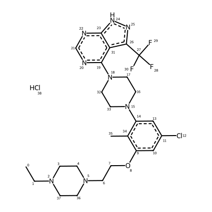 CCN1CCN(CCOc2cc(Cl)cc(N3CCN(c4ncnc5[nH]nc(C(F)(F)F)c45)CC3)c2C)CC1.Cl